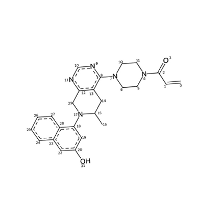 C=CC(=O)N1CCN(c2ncnc3c2CC(C)N(c2cc(O)cc4ccccc24)C3)CC1